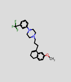 COc1ccc2c(c1)C(CCCN1CCN(c3cccc(C(F)(F)F)c3)CC1)=CCC2